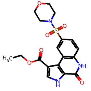 CCOC(=O)c1c[nH]c2c(=O)[nH]c3ccc(S(=O)(=O)N4CCOCC4)cc3c12